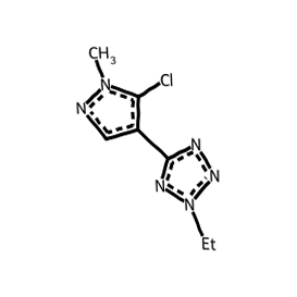 CCn1nnc(-c2cnn(C)c2Cl)n1